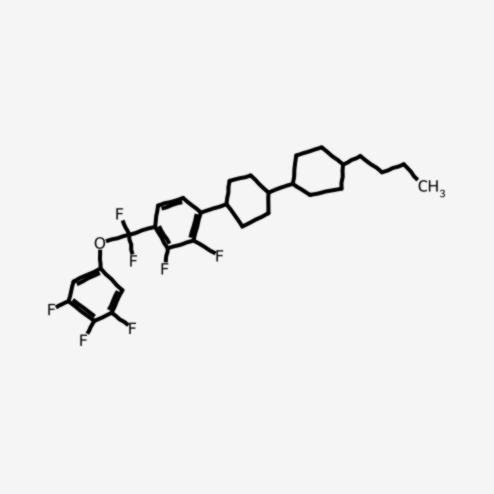 CCCCC1CCC(C2CCC(c3ccc(C(F)(F)Oc4cc(F)c(F)c(F)c4)c(F)c3F)CC2)CC1